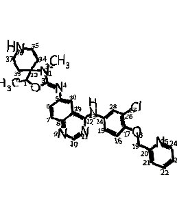 CC1OC(=Nc2ccc3ncnc(Nc4ccc(OCc5ccccn5)c(Cl)c4)c3c2)N(C)C12CCNCC2